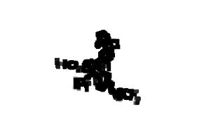 Cc1cccc(Cl)c1-c1cc([C@H](CC(=O)O)NC(=O)[C@H](CC(C)C)N2C=CC(CCN(C)CC(F)(F)F)=CC2)ccn1